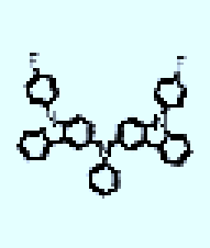 Fc1ccc(-n2c3ccccc3c3cc(N(c4ccccc4)c4ccc5c(c4)c4ccccc4n5-c4ccc(F)cc4)ccc32)cc1